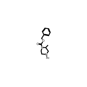 CC(=O)N1CCN(C(=O)OCc2ccccc2)C(C)C1